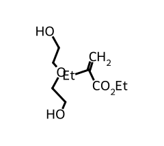 C=C(CC)C(=O)OCC.OCCOCCO